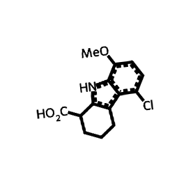 COc1ccc(Cl)c2c3c([nH]c12)C(C(=O)O)CCC3